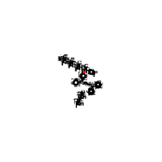 C1=CC2C=CC1C2.F[B-](F)(F)F.F[B-](F)(F)F.F[B-](F)(F)F.F[B-](F)(F)F.F[B-](F)(F)F.F[B-](F)(F)F.[Rh].c1ccc(P(CCCCP(c2ccccc2)c2ccccc2)c2ccccc2)cc1